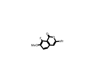 CCCc1cc2ccc(OC)c(F)c2c(=O)o1